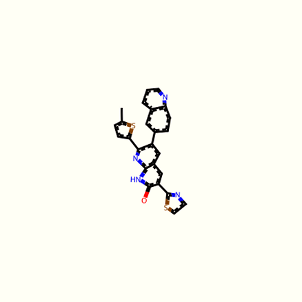 Cc1ccc(-c2nc3[nH]c(=O)c(-c4nccs4)cc3cc2-c2ccc3ncccc3c2)s1